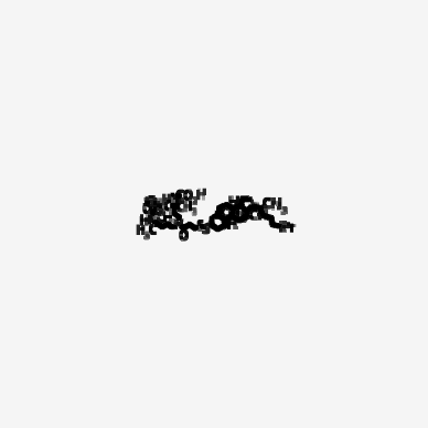 CC(C)CCC[C@@H](C)[C@H]1CC[C@H]2[C@@H]3CC=C4C[C@@H](SSCCC(=O)N(CCCC(C)(C)NC(=O)OC(C)(C)C)CCC(C)(C)NC(=O)O)CC[C@]4(C)[C@H]3CC[C@]12C